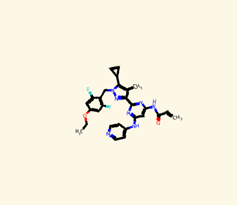 C=CC(=O)Nc1cc(Nc2ccncc2)nc(-c2nn(Cc3c(F)cc(OCC)cc3F)c(C3CC3)c2C)n1